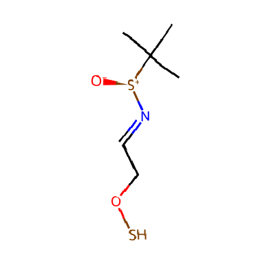 CC(C)(C)[S@+]([O-])/N=C/COS